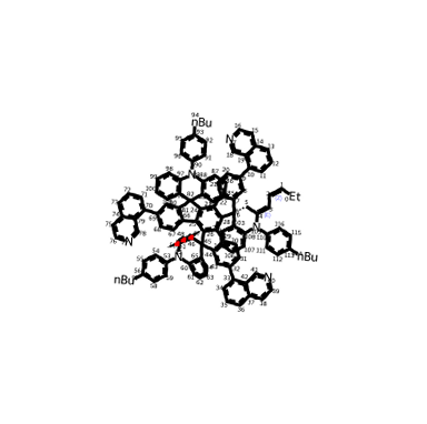 CC/C=C\C=C1/C[C@]2(c3cc(-c4cccc5ccncc45)ccc3-c3c4c(c5c(c32)-c2ccc(-c3cccc6ccncc36)cc2C52c3ccccc3N(c3ccc(CCCC)cc3)c3ccccc32)-c2ccc(-c3cccc5ccncc35)cc2C42c3ccccc3N(c3ccc(CCCC)cc3)c3ccccc32)c2ccccc2N1c1ccc(CCCC)cc1